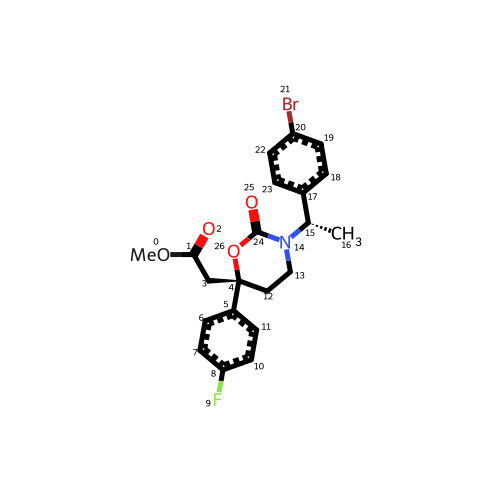 COC(=O)C[C@]1(c2ccc(F)cc2)CCN([C@@H](C)c2ccc(Br)cc2)C(=O)O1